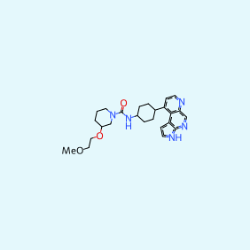 COCCOC1CCCN(C(=O)NC2CCC(c3ccnc4cnc5[nH]ccc5c34)CC2)C1